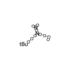 CC(C)(C)c1ccc(-c2ccc(-c3ccc(N(c4ccc(-c5ccc(-c6cccc7ccccc67)cc5)cc4)c4ccc(-n5c6ccccc6c6ccccc65)cc4)cc3)cc2)cc1